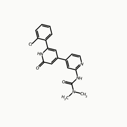 CN(C)C(=O)Nc1cc(-c2cc(-c3ccccc3Cl)[nH]c(=O)c2)ccn1